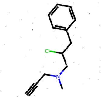 C#CCN(C)CC(Cl)Cc1ccccc1